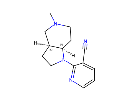 CN1CC[C@@H]2[C@@H](CCN2c2ncccc2C#N)C1